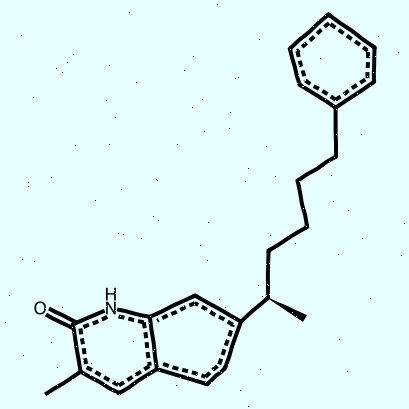 Cc1cc2ccc([C@H](C)CCCCc3ccccc3)cc2[nH]c1=O